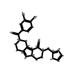 O=C(c1ccc(Cl)c(Cl)c1)N1CCc2nn3c(c2C1)C(=O)N(Cc1nccs1)CC3